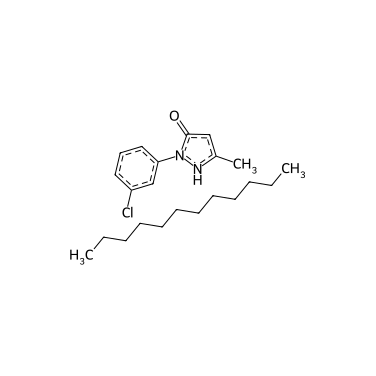 CCCCCCCCCCCC.Cc1cc(=O)n(-c2cccc(Cl)c2)[nH]1